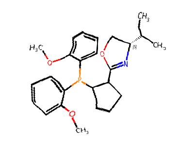 COc1ccccc1P(c1ccccc1OC)C1CCCC1C1=N[C@@H](C(C)C)CO1